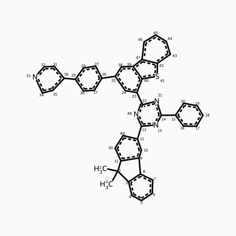 CC1(C)c2ccccc2-c2cc(-c3nc(-c4ccccc4)nc(-c4cc(-c5ccc(-c6ccncc6)cc5)cc5c4sc4ccccc45)n3)ccc21